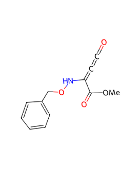 COC(=O)C(=C=C=O)NOCc1ccccc1